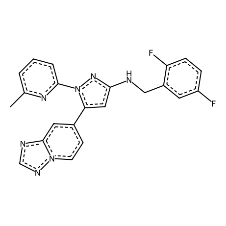 Cc1cccc(-n2nc(NCc3cc(F)ccc3F)cc2-c2ccn3ncnc3c2)n1